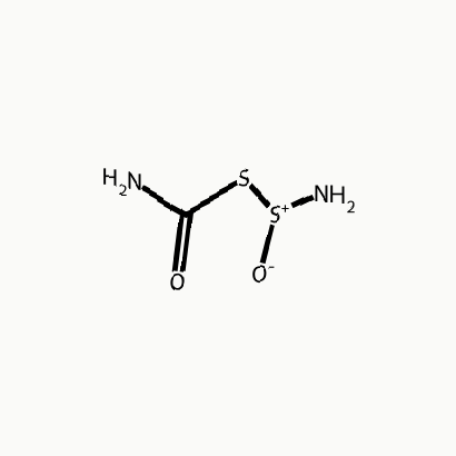 NC(=O)S[S+](N)[O-]